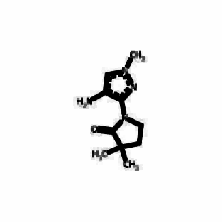 Cn1cc(N)c(N2CCC(C)(C)C2=O)n1